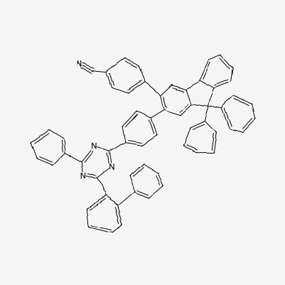 N#Cc1ccc(-c2cc3c(cc2-c2ccc(-c4nc(-c5ccccc5)nc(-c5ccccc5-c5ccccc5)n4)cc2)C(c2ccccc2)(c2ccccc2)c2ccccc2-3)cc1